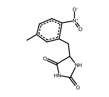 Cc1ccc([N+](=O)[O-])c(CC2NC(=O)NC2=O)c1